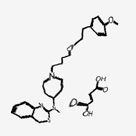 COc1ccc(CCOCCCCN2CCC(N(C)C3=Nc4ccccc4CS3)CC2)cc1.O=C(O)C=CC(=O)O